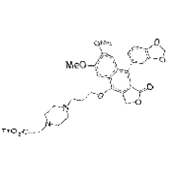 CCOC(=O)CN1CCN(CCCOc2c3c(c(-c4ccc5c(c4)OCO5)c4cc(OC)c(OC)cc24)C(=O)OC3)CC1